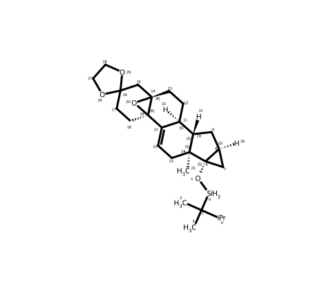 CC(C)C(C)(C)[SiH2]O[C@@]12C[C@@H]1C[C@H]1[C@@H]3CC[C@@]45CC6(CC[C@@]4(O5)C3=CC[C@@]12C)OCCO6